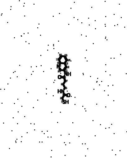 O=C(CS)NCCCC(=O)NC1=CC2C=CC=CC2N=C1